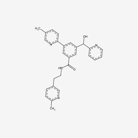 Cc1ccc(-c2cc(C(=O)NCCc3ccc(C)nc3)cc(C(O)c3ccccn3)c2)nc1